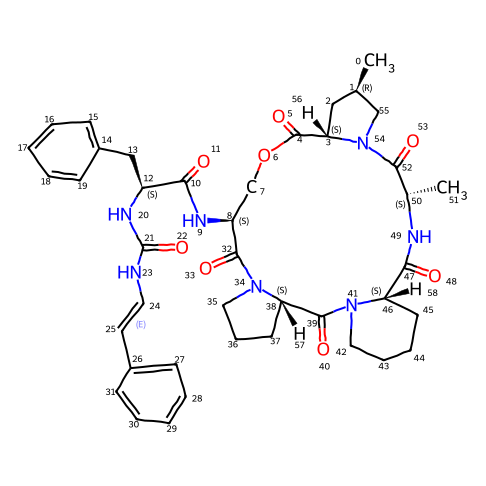 C[C@@H]1C[C@H]2C(=O)OC[C@H](NC(=O)[C@H](Cc3ccccc3)NC(=O)N/C=C/c3ccccc3)C(=O)N3CCC[C@H]3C(=O)N3CCCC[C@H]3C(=O)N[C@@H](C)C(=O)N2C1